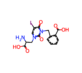 NC(Cn1cc(I)c(=O)n(Cc2ccccc2C(=O)O)c1=O)C(=O)O